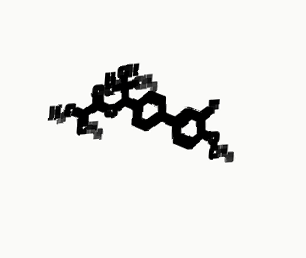 C=C(C)C(=O)OC(c1ccc(-c2ccc(OC)c(F)c2)cc1)C(C)(C)O